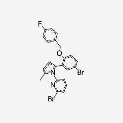 Cc1ccc(-c2cc(Br)ccc2OCc2ccc(F)cc2)n1-c1cccc(Br)n1